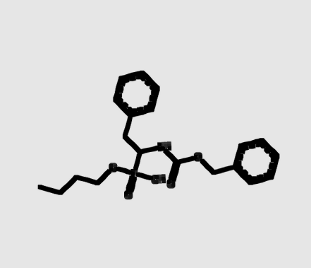 CCCCOP(=O)(O)C(Cc1ccccc1)NC(=O)OCc1ccccc1